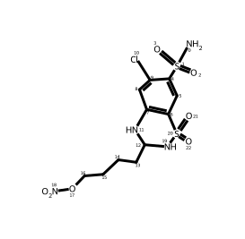 NS(=O)(=O)c1cc2c(cc1Cl)NC(CCCCO[N+](=O)[O-])NS2(=O)=O